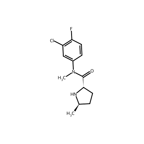 C[C@@H]1CC[C@@H](C(=O)N(C)c2ccc(F)c(Cl)c2)N1